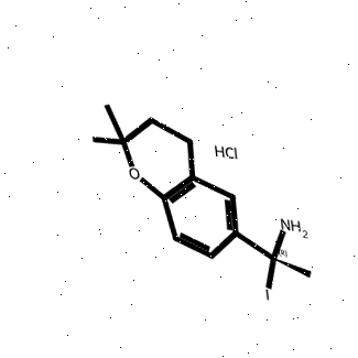 CC1(C)CCc2cc([C@](C)(N)I)ccc2O1.Cl